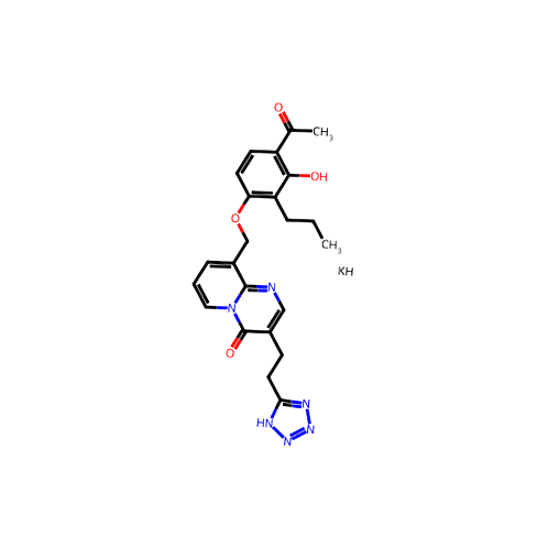 CCCc1c(OCc2cccn3c(=O)c(CCc4nnn[nH]4)cnc23)ccc(C(C)=O)c1O.[KH]